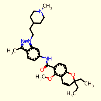 CCC1(CC)C=Cc2c(ccc(C(=O)Nc3ccc4c(C)nn(CCC5CCN(C)CC5)c4c3)c2OC)O1